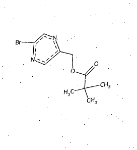 CC(C)(C)C(=O)OCc1cnc(Br)cn1